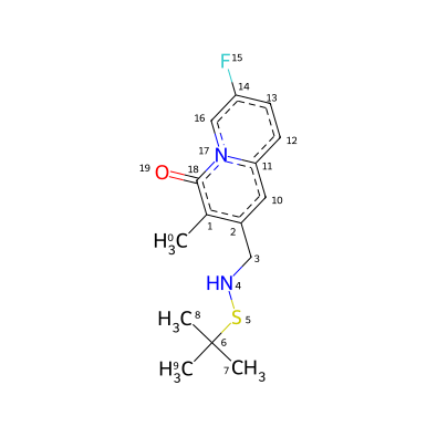 Cc1c(CNSC(C)(C)C)cc2ccc(F)cn2c1=O